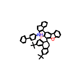 CC(C)(C)c1ccc2c(c1)-c1cc(C(C)(C)C)cc3c1C(CC2)c1c(c(-c2c(Nc4ccc(-c5ccccc5)cc4)ccc4ccccc24)cc2c1oc1ccccc12)B3